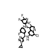 N#Cc1cnc2c(Cl)cc(N[C@H](c3cn(C4CC4)nn3)c3ccccc3F)cc2c1Nc1cnc(F)c(F)c1